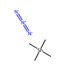 [CH3][Sn]([CH3])([CH3])[CH3].[N-]=[N+]=[N-]